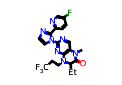 CCC1C(=O)N(C)c2cnc(-n3ccnc3-c3ccc(F)cn3)nc2N1CCC(F)(F)F